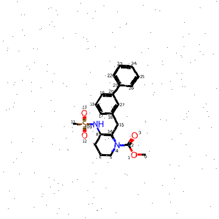 COC(=O)N1CCCC(NS(C)(=O)=O)C1Cc1cccc(-c2ccccc2)c1